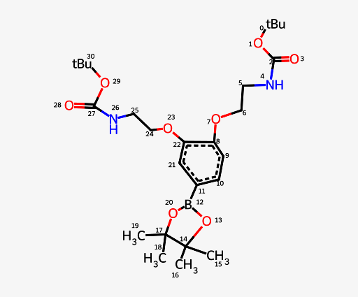 CC(C)(C)OC(=O)NCCOc1ccc(B2OC(C)(C)C(C)(C)O2)cc1OCCNC(=O)OC(C)(C)C